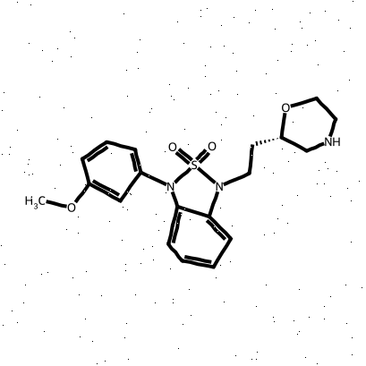 COc1cccc(N2c3ccccc3N(CC[C@H]3CNCCO3)S2(=O)=O)c1